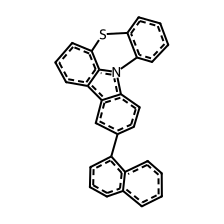 c1ccc2c(c1)Sc1cccc3c4cc(-c5cccc6ccccc56)ccc4n-2c13